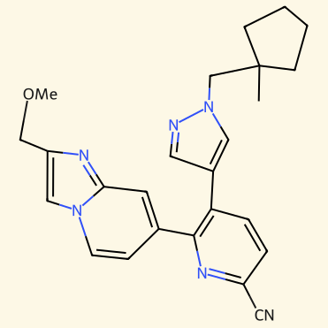 COCc1cn2ccc(-c3nc(C#N)ccc3-c3cnn(CC4(C)CCCC4)c3)cc2n1